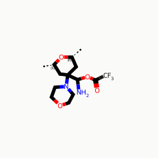 C[C@@H]1CC(C(N)OC(=O)C(F)(F)F)(N2CCOCC2)C[C@H](C)O1